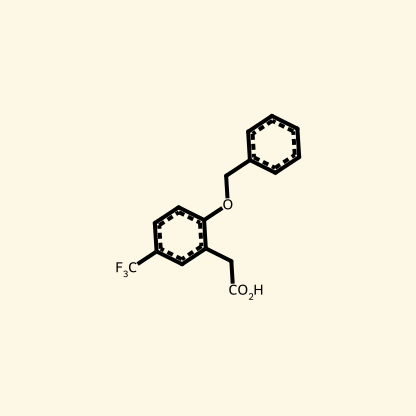 O=C(O)Cc1cc(C(F)(F)F)ccc1OCc1ccccc1